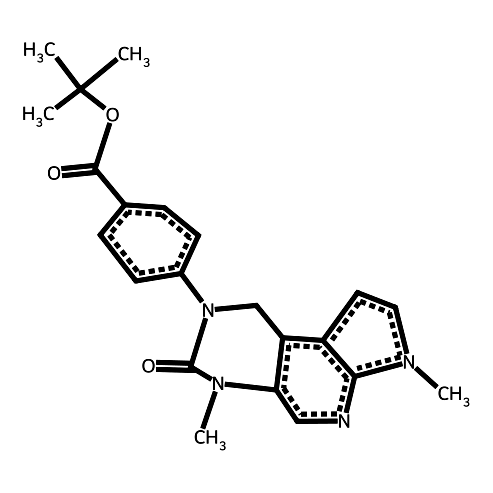 CN1C(=O)N(c2ccc(C(=O)OC(C)(C)C)cc2)Cc2c1cnc1c2ccn1C